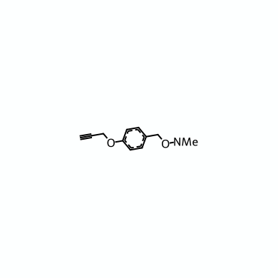 C#CCOc1ccc(CONC)cc1